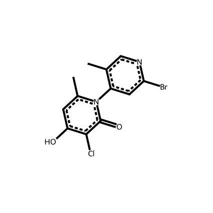 Cc1cnc(Br)cc1-n1c(C)cc(O)c(Cl)c1=O